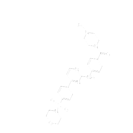 CC(=O)N1CCN(C(=O)c2ccc(Nc3nccc(-c4ccc(S(=O)(=O)N5CCOCC5)cc4)n3)cc2)CC1